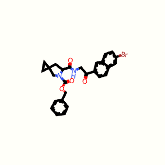 O=C(CNC(=O)C1CC2(CC2)CN1C(=O)OCc1ccccc1)c1ccc2cc(Br)ccc2c1